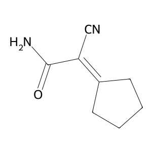 N#CC(C(N)=O)=C1CCCC1